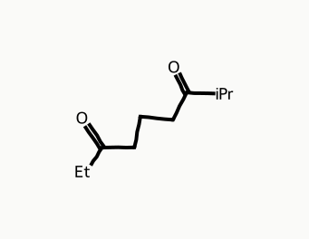 CCC(=O)CCCC(=O)C(C)C